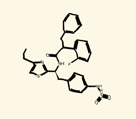 CCc1csc([C@H](Cc2ccc(N[SH](=O)=O)cc2)NC(=O)C(Cc2ccccc2)c2ccccc2F)n1